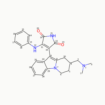 CN(C)CC1CCn2c(c(C3=C(Nc4ccccc4)C(=O)NC3=O)c3ccccc32)C1